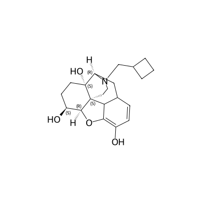 OC1=C2O[C@H]3[C@@H](O)CC[C@@]4(O)[C@H]5CC(C=C1)C2[C@@]34CCN5CC1CCC1